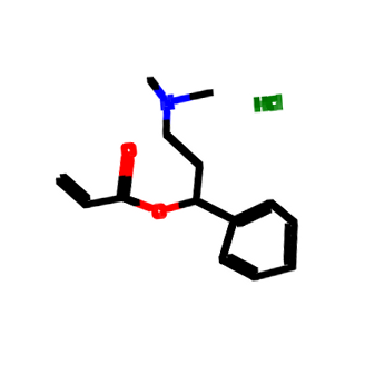 C=CC(=O)OC(CCN(C)C)c1ccccc1.Cl